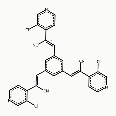 N#C/C(=C\c1cc(/C=C(\C#N)c2ccncc2Cl)cc(/C=C(\C#N)c2ccncc2Cl)c1)c1ccncc1Cl